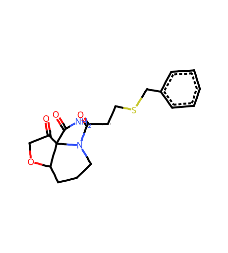 NC(=O)C12C(=O)COC1CCCN2C(=O)[CH]CSCc1ccccc1